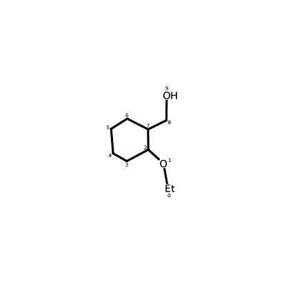 CCOC1CCCCC1CO